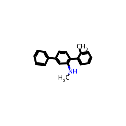 CNc1cc(-c2ccccc2)ccc1-c1ccccc1C